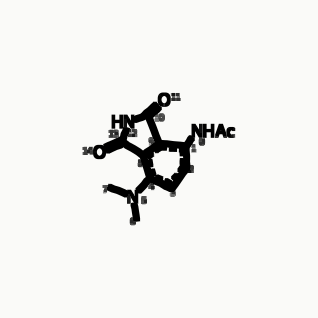 CC(=O)Nc1ccc(N(C)C)c2c1C(=O)NC2=O